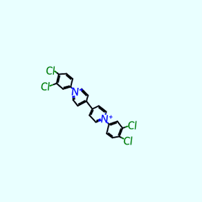 Clc1ccc(-[n+]2ccc(-c3cc[n+](-c4ccc(Cl)c(Cl)c4)cc3)cc2)cc1Cl